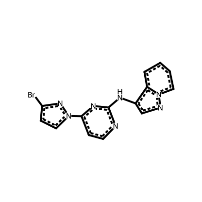 Brc1ccn(-c2ccnc(Nc3cnn4ccccc34)n2)n1